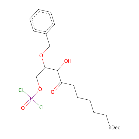 CCCCCCCCCCCCCCCC(=O)C(O)C(COP(=O)(Cl)Cl)OCc1ccccc1